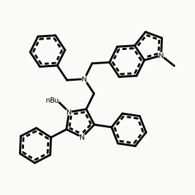 CCCCn1c(-c2ccccc2)nc(-c2ccccc2)c1CN(Cc1ccccc1)Cc1ccc2c(ccn2C)c1